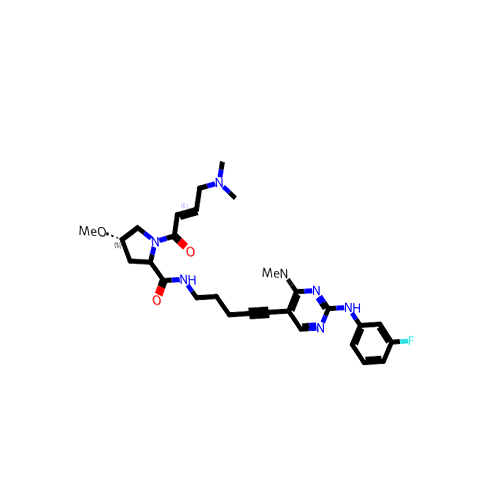 CNc1nc(Nc2cccc(F)c2)ncc1C#CCCCNC(=O)C1C[C@H](OC)CN1C(=O)/C=C/CN(C)C